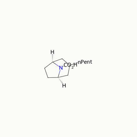 CCCCCC1C[C@H]2CC[C@@H](C1)N2C(=O)O